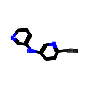 CCCCCCc1ccc(Nc2cccnc2)cn1